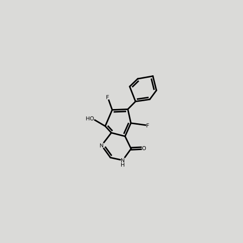 O=c1[nH]cnc2c(O)c(F)c(-c3ccccc3)c(F)c12